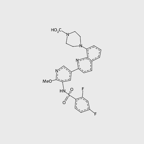 COc1ncc(-c2ccc3cccc(N4CCN(C(=O)O)CC4)c3n2)cc1NS(=O)(=O)c1ccc(F)cc1F